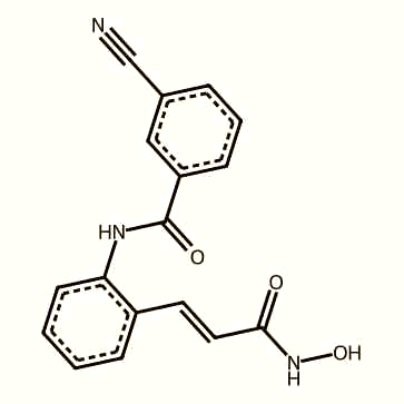 N#Cc1cccc(C(=O)Nc2ccccc2C=CC(=O)NO)c1